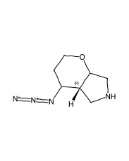 [N-]=[N+]=NC1CCOC2CNC[C@H]12